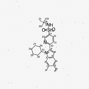 Cc1cc2c(cc1F)cc(-c1ccc(S(=O)(=O)NC(C)(C)C)cn1)n2C1CCCCC1